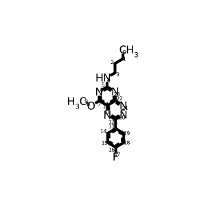 CCCCNc1nc(OC)c2nc(-c3ccc(F)cc3)nnc2n1